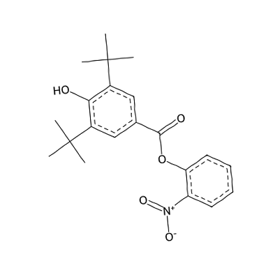 CC(C)(C)c1cc(C(=O)Oc2ccccc2[N+](=O)[O-])cc(C(C)(C)C)c1O